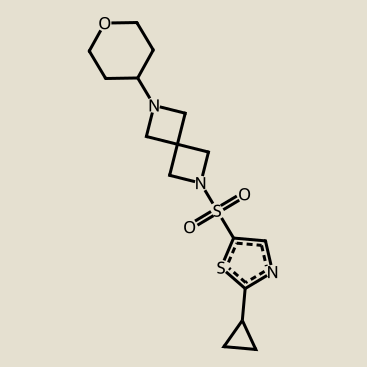 O=S(=O)(c1cnc(C2CC2)s1)N1CC2(CN(C3CCOCC3)C2)C1